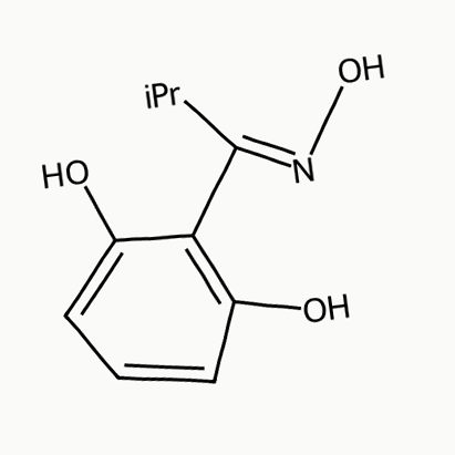 CC(C)/C(=N\O)c1c(O)cccc1O